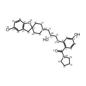 O=C(c1ccc(O)cc1OC[C@H](O)CN1CCC2(CC1)Cc1cc(Cl)ccc1O2)N1CCCC1